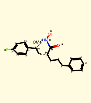 CO[C@H](C[C@@H](CCCc1ccccc1)C(=O)NO)c1ccc(F)cc1